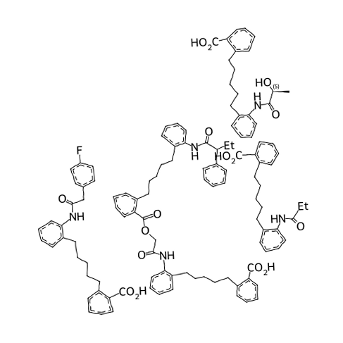 CCC(=O)Nc1ccccc1CCCCCc1ccccc1C(=O)O.CCC(C(=O)Nc1ccccc1CCCCCc1ccccc1C(=O)OCC(=O)Nc1ccccc1CCCCCc1ccccc1C(=O)O)c1ccccc1.C[C@H](O)C(=O)Nc1ccccc1CCCCCc1ccccc1C(=O)O.O=C(Cc1ccc(F)cc1)Nc1ccccc1CCCCCc1ccccc1C(=O)O